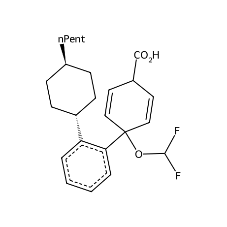 CCCCC[C@H]1CC[C@H](c2ccccc2C2(OC(F)F)C=CC(C(=O)O)C=C2)CC1